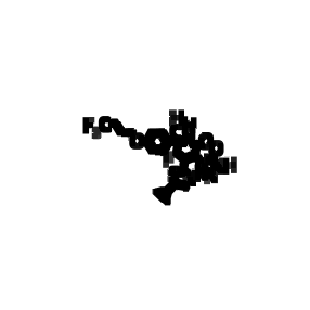 C[C@@]1(c2ccc(OCCCC(F)(F)F)cc2F)CC(c2ncc(C3CC3)s2)=C(n2nn[nH]c2=O)C(=O)N1